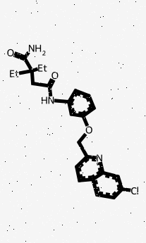 CCC(CC)(CC(=O)Nc1cccc(OCc2ccc3ccc(Cl)cc3n2)c1)C(N)=O